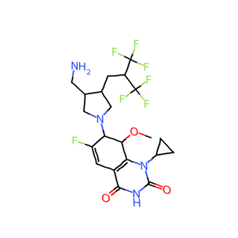 COC1c2c(c(=O)[nH]c(=O)n2C2CC2)C=C(F)C1N1CC(CN)C(CC(C(F)(F)F)C(F)(F)F)C1